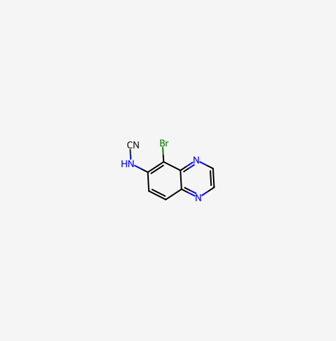 N#CNc1ccc2nccnc2c1Br